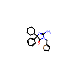 NC1=NC(c2ccccc2)(C2CCCCC2)C(=O)N1Cc1cccs1